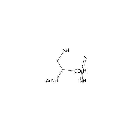 CC(=O)NC(CS)C(=O)O.N=C=S